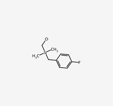 C[Si](C)(C[O])Cc1ccc(F)cc1